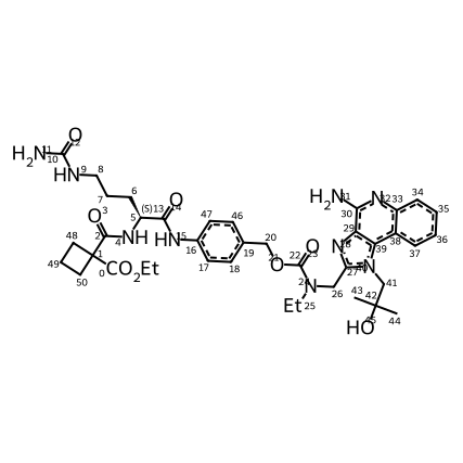 CCOC(=O)C1(C(=O)N[C@@H](CCCNC(N)=O)C(=O)Nc2ccc(COC(=O)N(CC)Cc3nc4c(N)nc5ccccc5c4n3CC(C)(C)O)cc2)CCC1